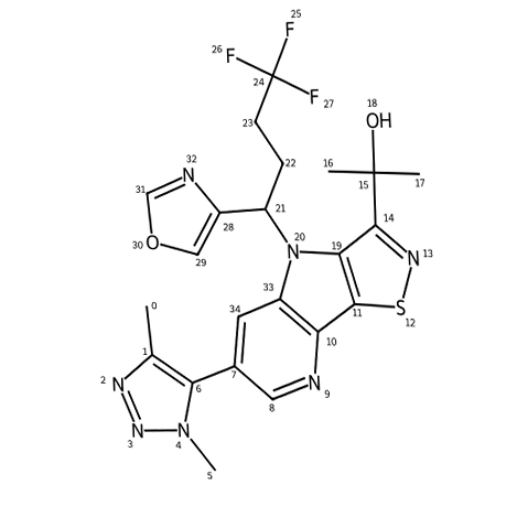 Cc1nnn(C)c1-c1cnc2c3snc(C(C)(C)O)c3n(C(CCC(F)(F)F)c3cocn3)c2c1